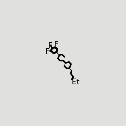 CC/C=C/CC[C@H]1CC[C@H]([C@H]2CC[C@H](c3cc(F)c(F)c(F)c3)CC2)CC1